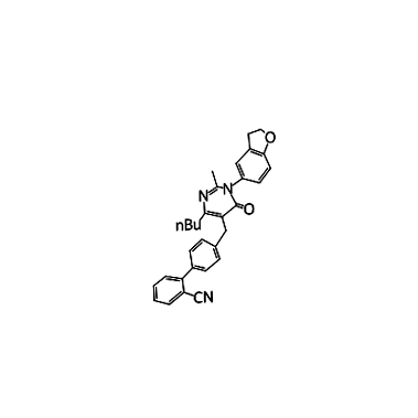 CCCCc1nc(C)n(-c2ccc3c(c2)CCO3)c(=O)c1Cc1ccc(-c2ccccc2C#N)cc1